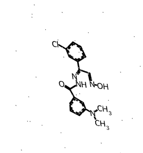 CN(C)c1cccc(C(=O)NN=C(C=NO)c2cccc(Cl)c2)c1